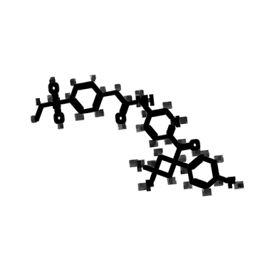 CCS(=O)(=O)c1ccc(CC(=O)Nc2ccc(C(=O)C3(c4ccc(F)cc4)CC(F)(F)C3)nc2)cc1